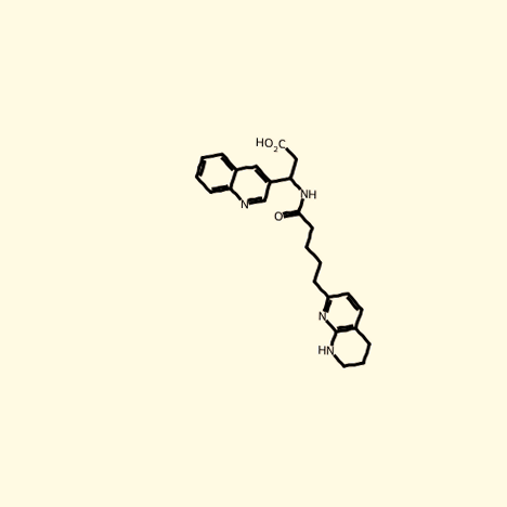 O=C(O)CC(NC(=O)CCCCc1ccc2c(n1)NCCC2)c1cnc2ccccc2c1